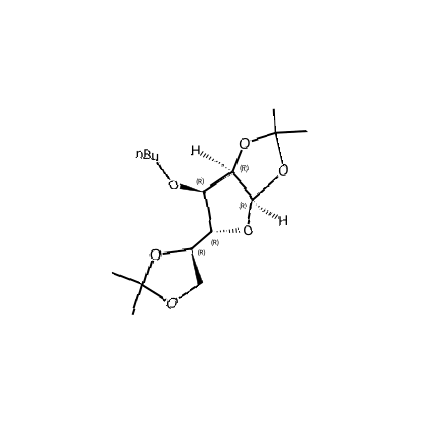 CCCCO[C@H]1[C@H]2OC(C)(C)O[C@H]2O[C@@H]1[C@H]1COC(C)(C)O1